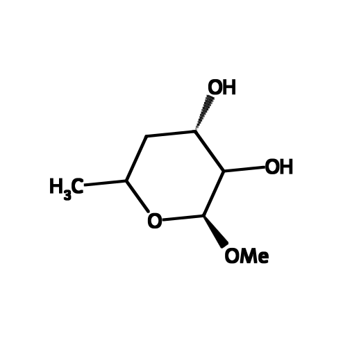 CO[C@H]1OC(C)C[C@H](O)C1O